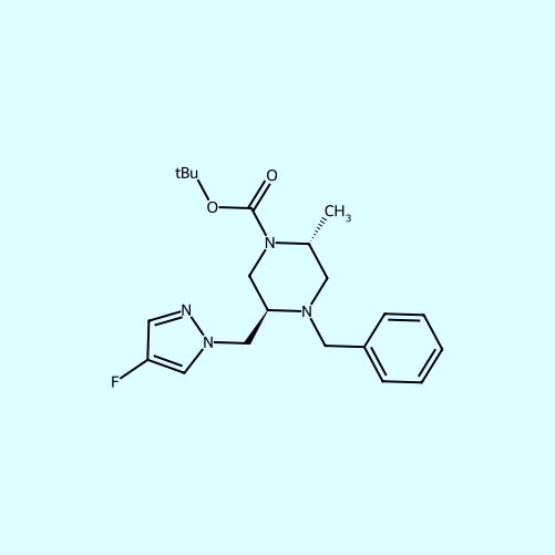 C[C@@H]1CN(Cc2ccccc2)[C@@H](Cn2cc(F)cn2)CN1C(=O)OC(C)(C)C